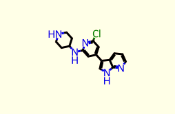 Clc1cc(-c2c[nH]c3ncccc23)cc(NC2CCNCC2)n1